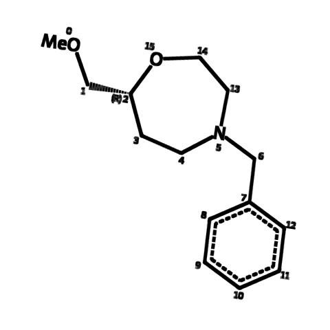 COC[C@H]1CCN(Cc2ccccc2)CCO1